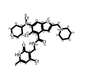 CCc1cc(C)[nH]c(=O)c1CNC(=O)c1c(CC)c(N(CC)C2CCOCC2)cc2oc(CN3CCCCC3)cc12